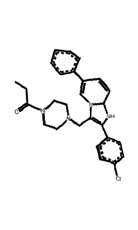 CCC(=O)N1CCN(CC2=C(c3ccc(Cl)cc3)NC3C=CC(c4ccccc4)=CN23)CC1